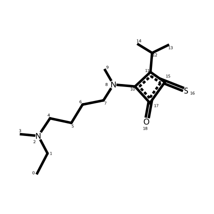 CCN(C)CCCCN(C)c1c(C(C)C)c(=S)c1=O